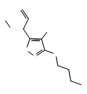 C=C[C@@H](NC)c1onc(OCCCC)c1Br